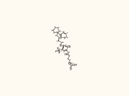 O=[PH](O)OCCCNCc1cc(C(F)(F)F)c(SCCCCC2(c3ccccc3)CCCCC2)cc1F